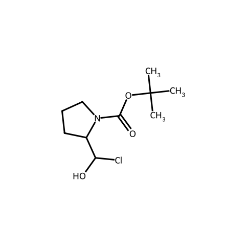 CC(C)(C)OC(=O)N1CCCC1C(O)Cl